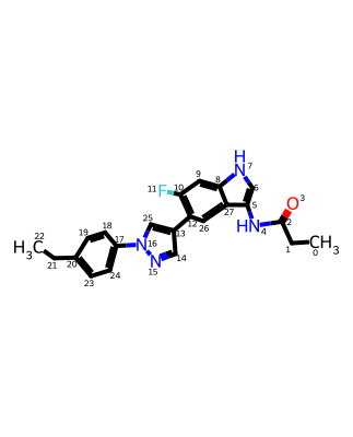 CCC(=O)Nc1c[nH]c2cc(F)c(-c3cnn(-c4ccc(CC)cc4)c3)cc12